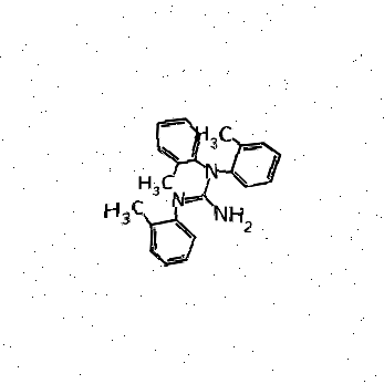 Cc1ccccc1N=C(N)N(c1ccccc1C)c1ccccc1C